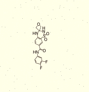 O=C(Nc1ccc(F)c(F)c1)c1ccc2c(c1)S(=O)(=O)NC1(COC1)N2